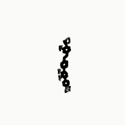 CCc1ccc(-c2ccc(-c3ccc(/C=C/c4ccc(C5CO5)c(F)c4)cc3)c(F)c2F)cc1